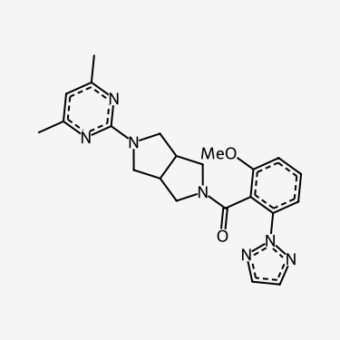 COc1cccc(-n2nccn2)c1C(=O)N1CC2CN(c3nc(C)cc(C)n3)CC2C1